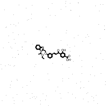 CCOC(C)n1c(COc2cccc(/C=C/C(=O)c3ccc(C(=O)O)cc3O)c2)nc2ccccc21